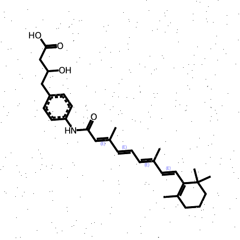 CC1=C(/C=C/C(C)=C/C=C/C(C)=C/C(=O)Nc2ccc(CC(O)CC(=O)O)cc2)C(C)(C)CCC1